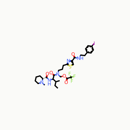 CCC(C)C(NC(=O)[C@H]1CCCCN1C)C(=O)N(CCCc1nc(C(=O)NCCc2ccc(I)cc2)cs1)COC(=O)C(F)(F)F